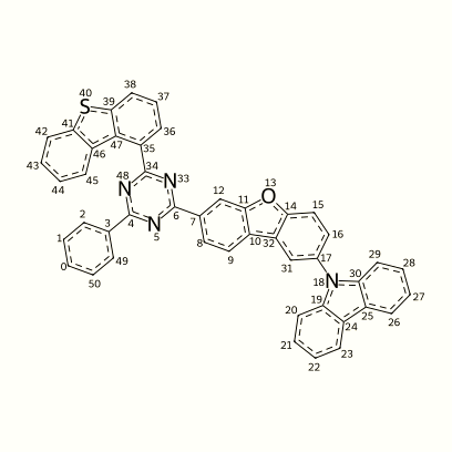 c1ccc(-c2nc(-c3ccc4c(c3)oc3ccc(-n5c6ccccc6c6ccccc65)cc34)nc(-c3cccc4sc5ccccc5c34)n2)cc1